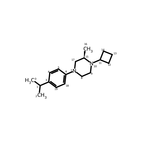 CC(C)c1ccc(N2CCN(C3CCC3)[C@H](C)C2)cc1